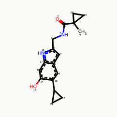 CC1(C(=O)NCc2cc3cc(C4CC4)c(O)cc3[nH]2)CC1